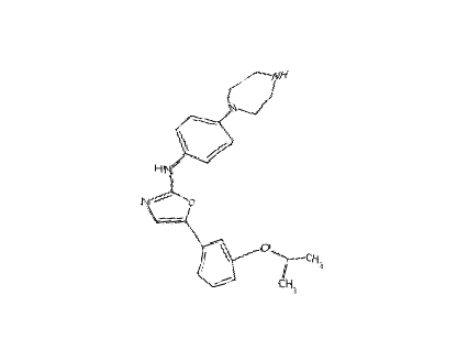 CC(C)Oc1cccc(-c2cnc(Nc3ccc(N4CCNCC4)cc3)o2)c1